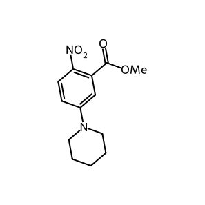 COC(=O)c1cc(N2CCCCC2)ccc1[N+](=O)[O-]